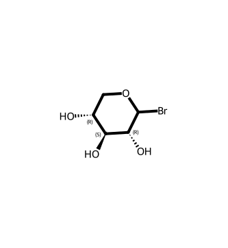 O[C@H]1[C@H](O)COC(Br)[C@@H]1O